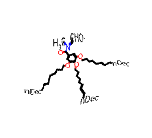 CCCCCCCCCCCCCCCCCCOc1cc(C(=O)N(C)C[C]=O)cc(OCCCCCCCCCCCCCCCCCC)c1OCCCCCCCCCCCCCCCCCC